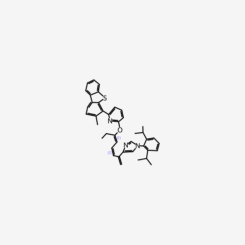 C=C(/C=C\C=C(/CC)Oc1cccc(-c2c(C)ccc3c2sc2ccccc23)n1)c1cn(-c2c(C(C)C)cccc2C(C)C)cn1